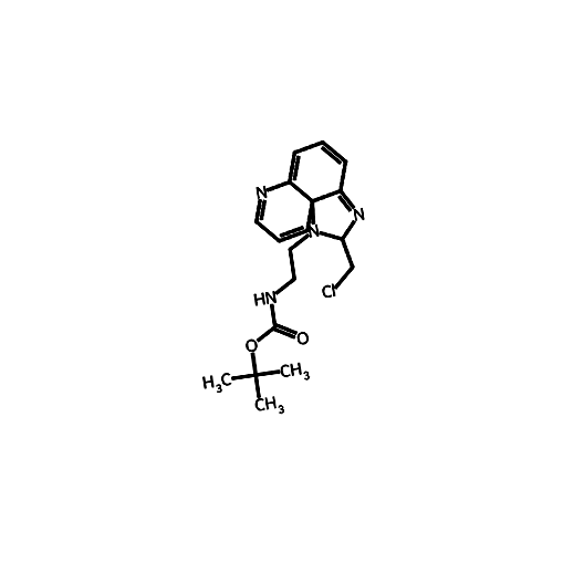 CC(C)(C)OC(=O)NCCN1C(CCl)N=C2C=CC=C3N=CC=CC321